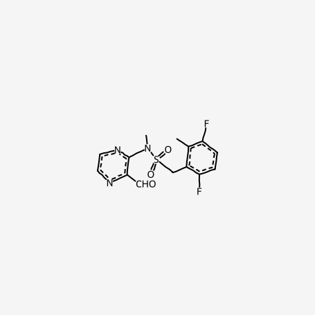 Cc1c(F)ccc(F)c1CS(=O)(=O)N(C)c1nccnc1C=O